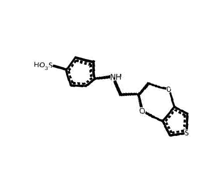 O=S(=O)(O)c1ccc(NCC2COc3cscc3O2)cc1